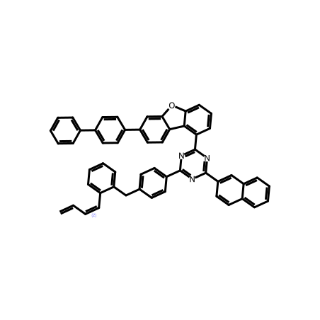 C=C/C=C\c1ccccc1Cc1ccc(-c2nc(-c3ccc4ccccc4c3)nc(-c3cccc4oc5cc(-c6ccc(-c7ccccc7)cc6)ccc5c34)n2)cc1